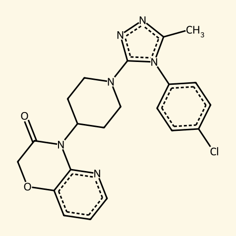 Cc1nnc(N2CCC(N3C(=O)COc4cccnc43)CC2)n1-c1ccc(Cl)cc1